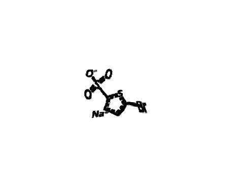 O=S(=O)([O-])c1ccc(Br)s1.[Na+]